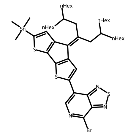 CCCCCCC(CCCCCC)CC(CC(CCCCCC)CCCCCC)=C1c2cc(-c3cnc(Br)c4nsnc34)sc2-c2s[c]([Sn]([CH3])([CH3])[CH3])cc21